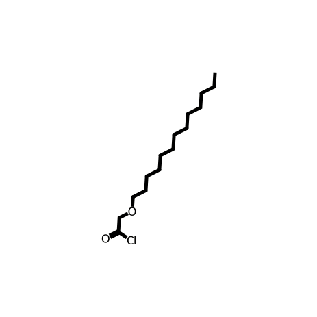 CCCCCCCCCCCCCOCC(=O)Cl